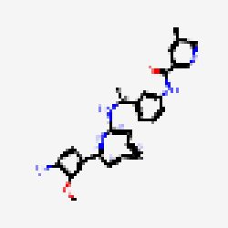 COc1cc(C2=N/C(N[C@@H](C)c3cccc(NC(=O)c4cncc(C)c4)c3)=C\C=C\C=C\2)ccc1N